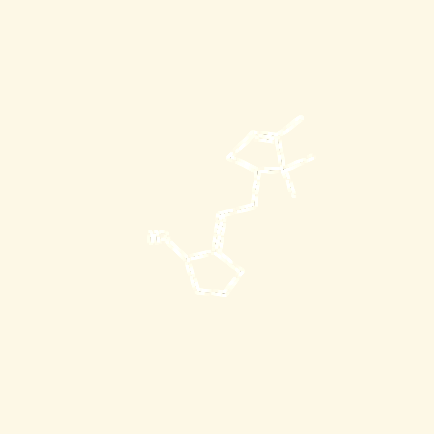 CC1=CCC(CC=C2CCCC2O)C1(C)C